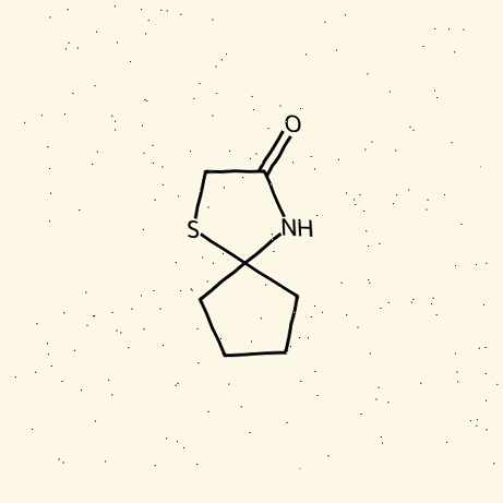 O=C1CSC2(CCCC2)N1